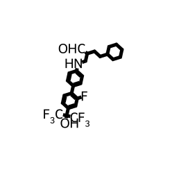 O=CC(CCC1CCCCC1)CNc1ccc(-c2ccc(C(O)(C(F)(F)F)C(F)(F)F)cc2F)cc1